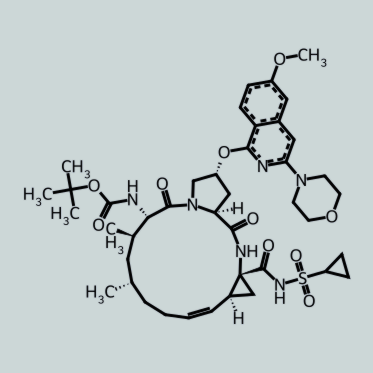 COc1ccc2c(O[C@@H]3C[C@H]4C(=O)N[C@]5(C(=O)NS(=O)(=O)C6CC6)C[C@H]5/C=C\CC[C@H](C)C[C@@H](C)[C@H](NC(=O)OC(C)(C)C)C(=O)N4C3)nc(N3CCOCC3)cc2c1